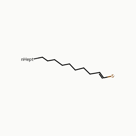 CCCCCCCCCCCCCCC/C=C/[S]